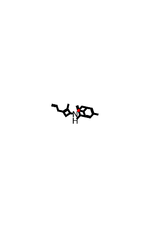 C=CCC1=C(C)C(NC(=C)C2C3=CC(C)=CC2CCC3C)C1